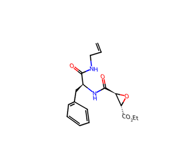 C=CCNC(=O)[C@H](Cc1ccccc1)NC(=O)[C@H]1O[C@@H]1C(=O)OCC